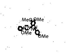 COc1cc2nc(C3CCC(OC)CC3)nc(N3CCN(c4ccccc4OC)CC3)c2cc1OC